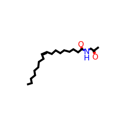 CCCCCCCC/C=C\CCCCCCCC(=O)NCC(C)=O